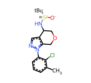 Cc1cccc(-n2ncc3c2COCC3N[S@@+]([O-])C(C)(C)C)c1Cl